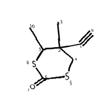 C#CC1(C)CSC(=O)SC1C